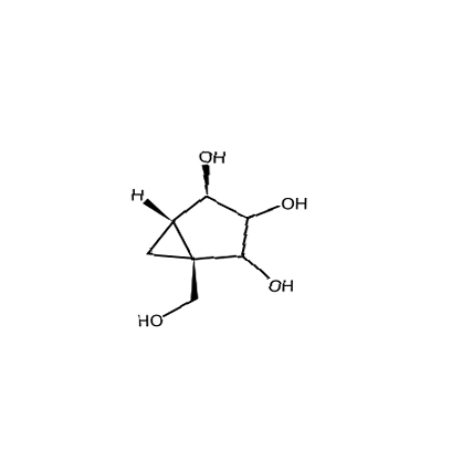 OC[C@@]12C[C@@H]1[C@@H](O)C(O)C2O